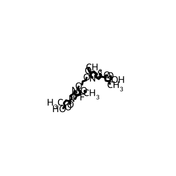 COc1cc2sc(C(=O)CC(C)C(=O)O)cc2nc1OCCCOc1nc2c(c(F)c1OC)CN(C(=O)CC(C)C(=O)O)C2